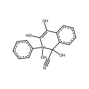 N#CC1(O)c2ccccc2C(O)=C(O)[N+]1(O)c1ccccc1